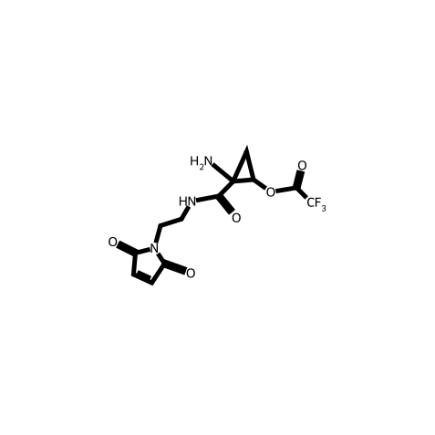 NC1(C(=O)NCCN2C(=O)C=CC2=O)CC1OC(=O)C(F)(F)F